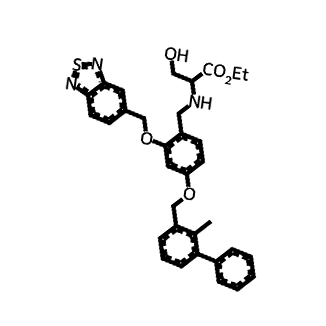 CCOC(=O)C(CO)NCc1ccc(OCc2cccc(-c3ccccc3)c2C)cc1OCc1ccc2nsnc2c1